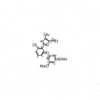 CCCc1nc(-c2c(Cl)cccc2Oc2nc(OC)cc(OC)n2)oc1OCC